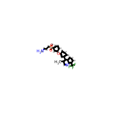 Cc1cnc2c(C(F)(F)F)cccc2c1-c1cccc(Oc2cccc(S(=O)(=O)CCCN)c2)c1